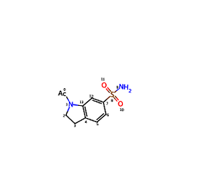 CC(=O)N1CCc2ccc(S(N)(=O)=O)cc21